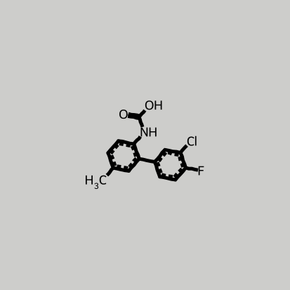 Cc1ccc(NC(=O)O)c(-c2ccc(F)c(Cl)c2)c1